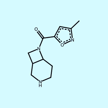 Cc1cc(C(=O)N2CC3CNCCC32)on1